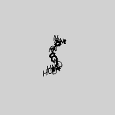 CC(C)Nc1ccc(-c2nc(-c3ccc4c(c3)CCN(C(=O)C(NC(=O)O)C(C)(C)C)CC4)no2)cc1C#N